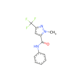 Cn1nc(C(F)(F)F)cc1C(=O)Nc1c[c]ccc1